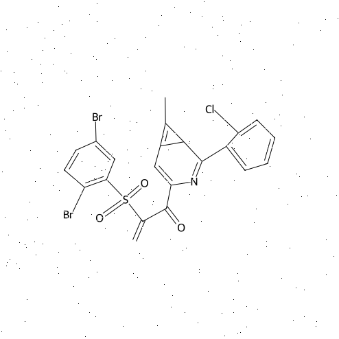 C=C(C(=O)C1=CC2=C(C)C2C(c2ccccc2Cl)=N1)S(=O)(=O)c1cc(Br)ccc1Br